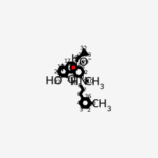 Cc1cccc(CCCN(C)[C@@H]2CC[C@@]3(O)[C@H]4Cc5ccc(O)c6c5[C@@]3(CC[N+]4([O-])CC3CC3)[C@H]2O6)c1